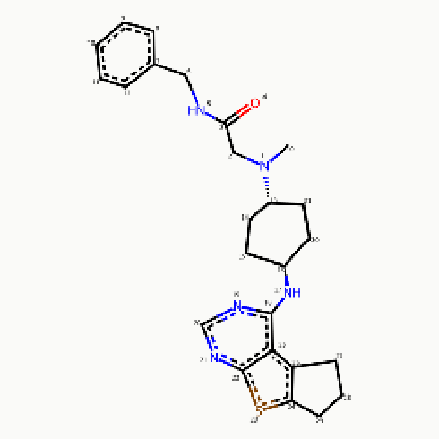 CN(CC(=O)NCc1ccccc1)[C@H]1CC[C@H](Nc2ncnc3sc4c(c23)CCC4)CC1